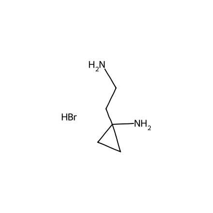 Br.NCCC1(N)CC1